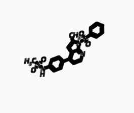 Cc1cc2c(-c3ccc(NS(C)(=O)=O)cc3)ccnc2n1S(=O)(=O)c1ccccc1